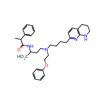 CC(C(=O)NC(CCN(CCCCc1ccc2c(n1)NCCC2)CCOc1ccccc1)C(=O)O)c1ccccc1